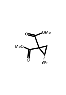 CCC[C@H]1CC1(C(=O)OC)C(=O)OC